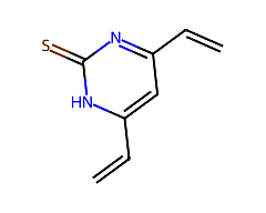 C=Cc1cc(C=C)[nH]c(=S)n1